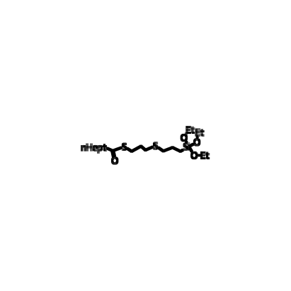 CCCCCCCC(=O)SCCCSCCC[Si](OCC)(OCC)OCC